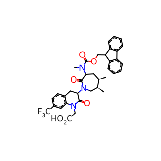 C[C@@H]1C[C@H](N(C)C(=O)OCC2c3ccccc3-c3ccccc32)C(=O)N(C2Cc3ccc(C(F)(F)F)cc3N(CC(=O)O)C2=O)C[C@@H]1C